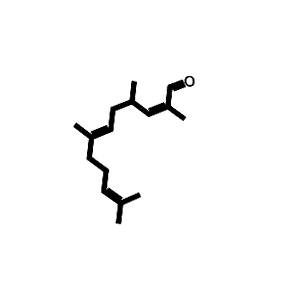 CC(C)=CCCC(C)=CCC(C)C=C(C)C=O